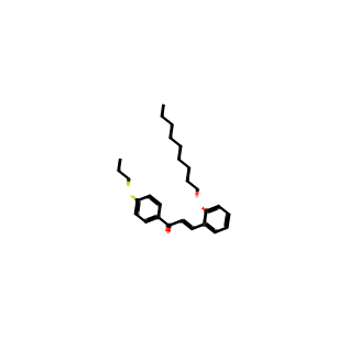 CCCCCCCCCOc1ccccc1/C=C/C(=O)c1ccc(SCCC)cc1